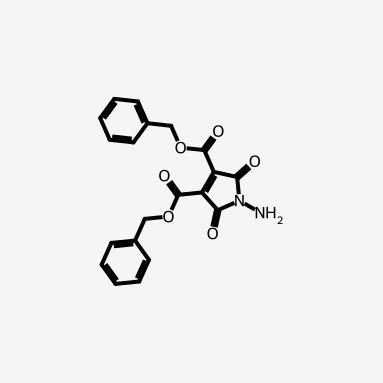 NN1C(=O)C(C(=O)OCc2ccccc2)=C(C(=O)OCc2ccccc2)C1=O